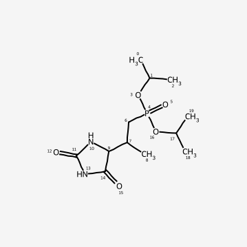 CC(C)OP(=O)(CC(C)C1NC(=O)NC1=O)OC(C)C